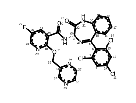 O=C(N[C@H]1N=C(c2c(Cl)cc(Cl)cc2Cl)c2ccccc2NC1=O)c1cc(F)cnc1OCc1cnccn1